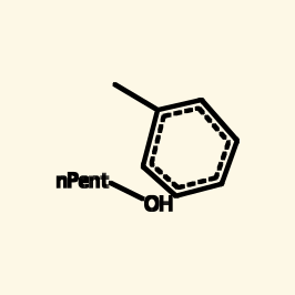 CCCCCO.Cc1ccccc1